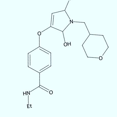 CCNC(=O)c1ccc(OC2=CC(O)N(CC3CCOCC3)C2O)cc1